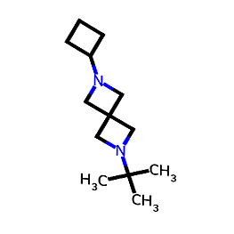 CC(C)(C)N1CC2(CN(C3CCC3)C2)C1